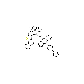 CC1(C)c2ccc(-c3c4ccccc4c(-c4ccc(-c5ccccc5)cc4)c4ccccc34)cc2-c2c1ccc1sc3c4ccccc4ccc3c21